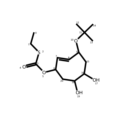 CCSC(=O)OC1/C=C/C(OC(C)(C)C)CC(O)C(O)C1